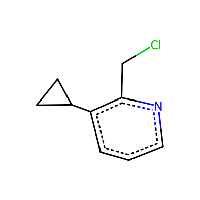 ClCc1ncccc1C1CC1